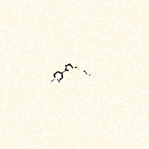 NCCNC(=O)c1ccc(-c2ccc(Cl)c(F)c2)[nH]1